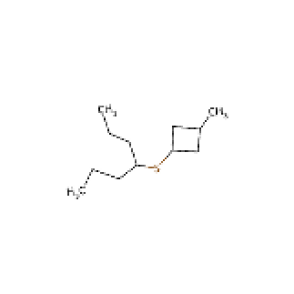 CCCC(CCC)SC1CC(C)C1